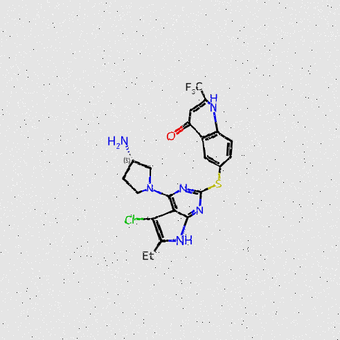 CCc1[nH]c2nc(Sc3ccc4[nH]c(C(F)(F)F)cc(=O)c4c3)nc(N3CC[C@H](N)C3)c2c1Cl